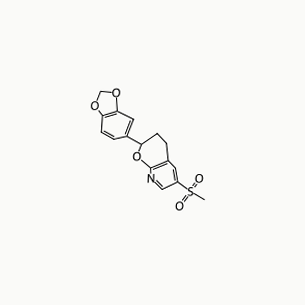 CS(=O)(=O)c1cnc2c(c1)CCC(c1ccc3c(c1)OCO3)O2